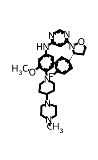 COc1cc(Nc2cc(N3OCC[C@@H]3c3ccc(F)cc3)ncn2)ccc1N1CCC(N2CCN(C)CC2)CC1